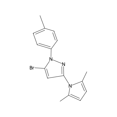 Cc1ccc(-n2nc(-n3c(C)ccc3C)cc2Br)cc1